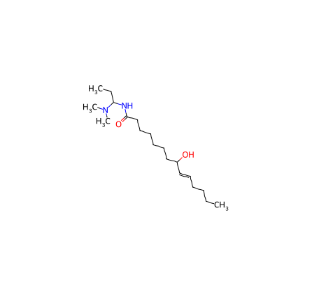 CCCCC=CC(O)CCCCCCC(=O)NC(CC)N(C)C